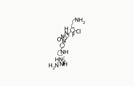 C[C@H](N)CCCc1cc(Cl)c(F)c(-c2cc3cn(-c4ccc([C@@H]5CCC[C@@H](C[C@@H](CF)NC(=N)CN)N5)cc4)c(=O)nc3[nH]2)c1